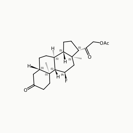 CC(=O)OCC(=O)[C@H]1CC[C@H]2[C@@H]3CC[C@H]4CC(=O)CC[C@]4(C)[C@H]3[C@H](F)C[C@]12C